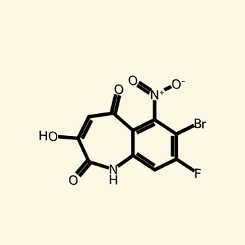 O=c1[nH]c2cc(F)c(Br)c([N+](=O)[O-])c2c(=O)cc1O